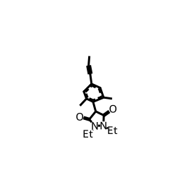 CC#Cc1cc(C)c(C2C(=O)N(CC)N(CC)C2=O)c(C)c1